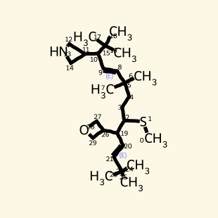 CSC(CCC(C)(C)/C=C/C(C1CNC1)C(C)(C)C)C(/C=C/C(C)(C)C)C1COC1